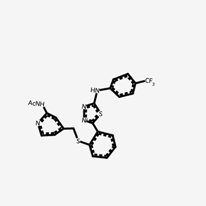 CC(=O)Nc1cc(CSc2ccccc2-c2nnc(Nc3ccc(C(F)(F)F)cc3)s2)ccn1